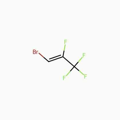 F/C(=C\Br)C(F)(F)F